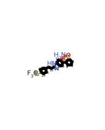 NS(=O)(=O)c1ccccc1-c1ccc2[nH]c(C=Cc3ccc(SC(F)(F)F)cc3)nc2c1